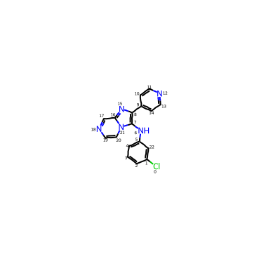 Clc1cccc(Nc2c(-c3ccncc3)nc3cnccn23)c1